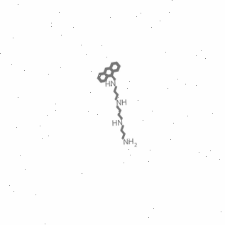 NCCCCNCCCCNCCCCNCc1c2ccccc2cc2ccccc12